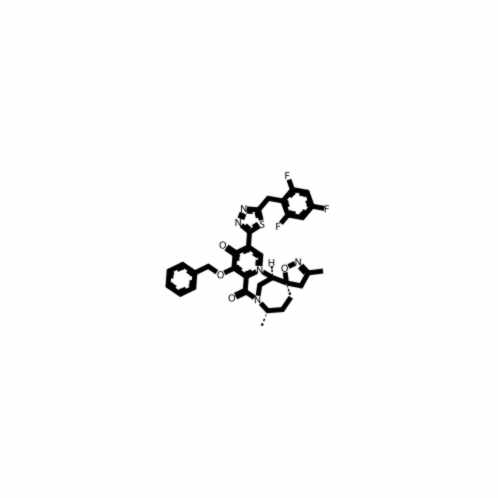 CC1=NO[C@@]2(CC[C@H](C)N3C[C@H]2n2cc(-c4nnc(Cc5c(F)cc(F)cc5F)s4)c(=O)c(OCc4ccccc4)c2C3=O)C1